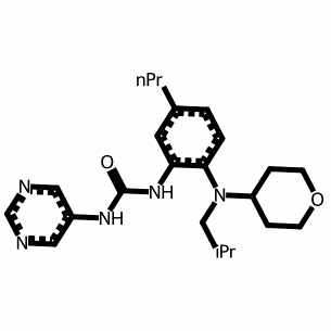 CCCc1ccc(N(CC(C)C)C2CCOCC2)c(NC(=O)Nc2cncnc2)c1